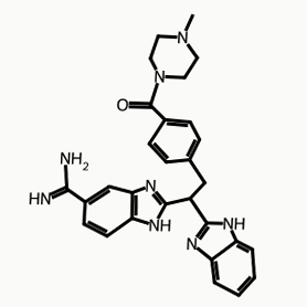 CN1CCN(C(=O)c2ccc(CC(c3nc4ccccc4[nH]3)c3nc4cc(C(=N)N)ccc4[nH]3)cc2)CC1